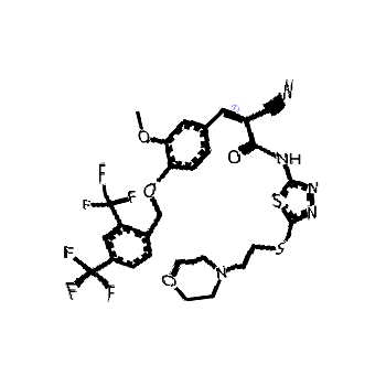 COc1cc(/C=C(/C#N)C(=O)Nc2nnc(SCCN3CCOCC3)s2)ccc1OCc1ccc(C(F)(F)F)cc1C(F)(F)F